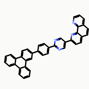 c1cnc2c(c1)ccc1ccc(-c3cnc(-c4ccc(-c5ccc6c7ccccc7c7ccccc7c6c5)cc4)nc3)nc12